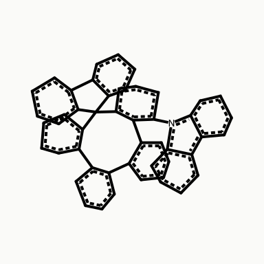 c1ccc2c(c1)-c1ccccc1-c1c(-n3c4ccccc4c4ccccc43)cccc1C1(c3ccccc3-2)c2ccccc2-c2ccccc21